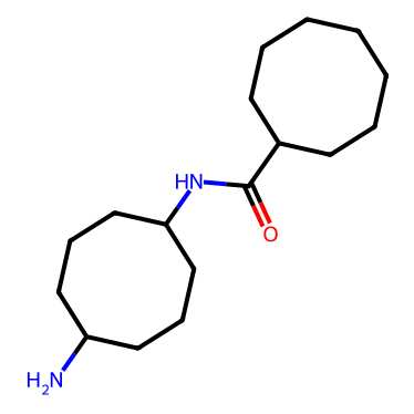 NC1CCCC(NC(=O)C2CCCCCCC2)CCC1